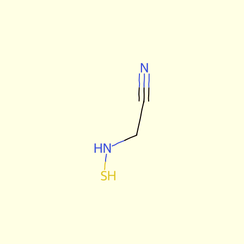 N#CCNS